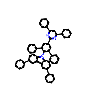 c1ccc(-c2ccc3c(c2)c2cc(-c4ccccc4)ccc2n3-c2c(-c3ccccc3)cc(-c3nc(-c4ccccc4)cc(-c4ccccc4)n3)cc2-c2ccccc2)cc1